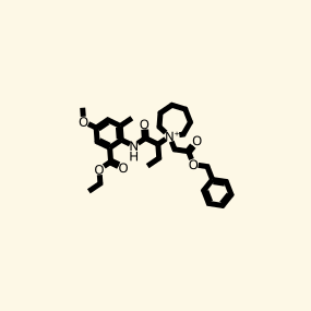 CCOC(=O)c1cc(OC)cc(C)c1NC(=O)C(CC)[N+]1(CC(=O)OCc2ccccc2)CCCCCC1